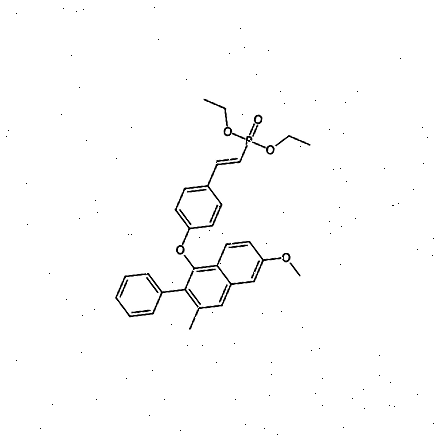 CCOP(=O)(C=Cc1ccc(Oc2c(-c3ccccc3)c(C)cc3cc(OC)ccc23)cc1)OCC